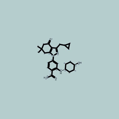 CC1(C)CC(=O)c2c(CC3CC3)nn(-c3ccc(C(N)=O)c(N[C@H]4CC[C@H](O)CC4)c3)c2C1